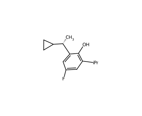 CC(C)c1cc(F)cc([C@@H](C)C2CC2)c1O